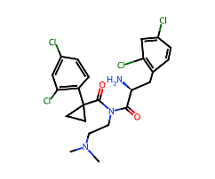 CN(C)CCN(C(=O)[C@@H](N)Cc1ccc(Cl)cc1Cl)C(=O)C1(c2ccc(Cl)cc2Cl)CC1